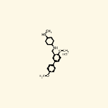 CNC1CCC(NCc2cc(-c3ccc(OC)cc3)ccc2OC)CC1.Cl